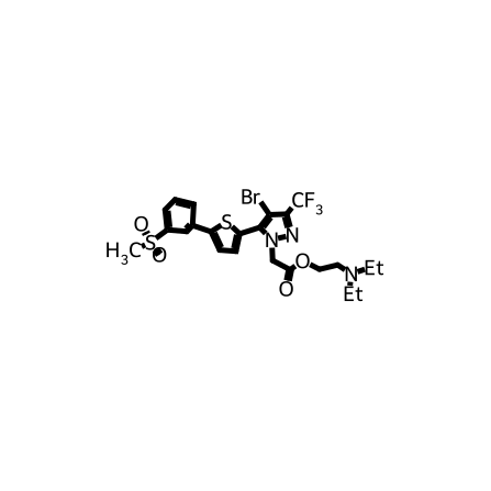 CCN(CC)CCOC(=O)Cn1nc(C(F)(F)F)c(Br)c1-c1ccc(-c2cccc(S(C)(=O)=O)c2)s1